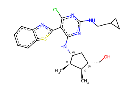 C[C@@H]1[C@@H](CO)C[C@@H](Nc2nc(NCC3CC3)nc(Cl)c2-c2nc3ccccc3s2)[C@@H]1C